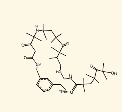 CNCc1cccc(CNC(=O)CC(=O)C(C)(C)NC(C)(C)CC(C)(C)C(=O)C(C)(C)C(C)CNCNC(=O)C(C)(C)CC(C)(C)C(=O)C(C)(C)O)c1